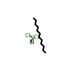 CCCCCCCCCCCC.Cl[SiH](Cl)Cl